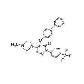 CN1CCN(c2cnn(-c3ccc(C(F)(F)F)cc3)c(=O)c2Oc2ccc(-c3ccccc3)cc2)CC1